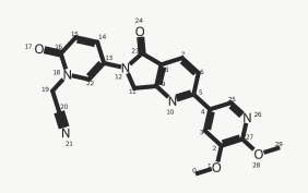 COc1cc(-c2ccc3c(n2)CN(c2ccc(=O)n(CC#N)c2)C3=O)cnc1OC